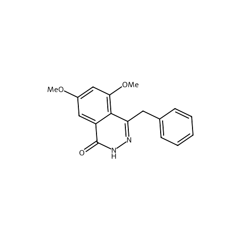 COc1cc(OC)c2c(Cc3ccccc3)n[nH]c(=O)c2c1